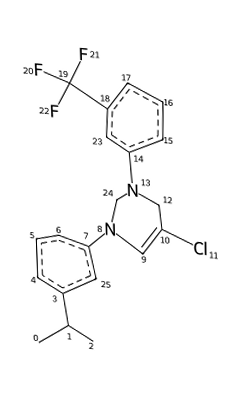 CC(C)c1cccc(N2C=C(Cl)CN(c3cccc(C(F)(F)F)c3)C2)c1